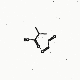 CC(C)C(=O)O.O=CC=O